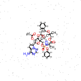 CC(C)C(=O)O[C@H]1[C@H](c2ccc3c(N)ncnn23)O[C@](C)(COP(=O)(N[C@@H](C)C(=O)OCC(C)(C)OCc2ccccc2)Oc2ccccc2)[C@H]1OC(=O)C(C)C